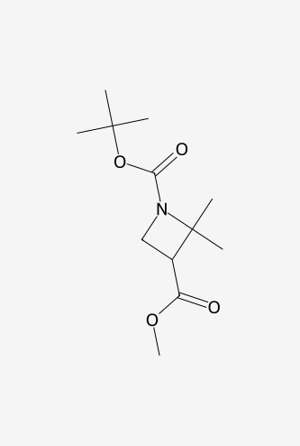 COC(=O)C1CN(C(=O)OC(C)(C)C)C1(C)C